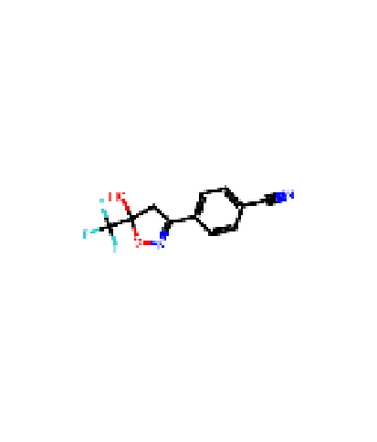 N#Cc1ccc(C2=NOC(O)(C(F)(F)F)C2)cc1